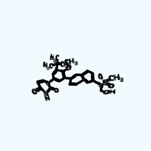 COc1c(-c2ccc3cc(N(CO)S(C)(=O)=O)ccc3c2)cc(-n2ccc(=O)[nH]c2=O)cc1C(C)(C)C